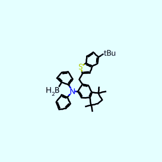 Bc1ccccc1N(c1ccccc1)c1cc2c(cc1Cc1cc3cc(C(C)(C)C)ccc3s1)C(C)(C)CCC2(C)C